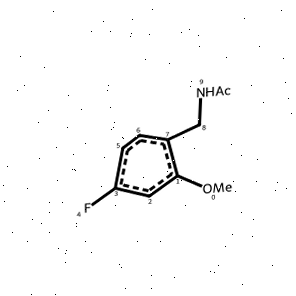 COc1cc(F)ccc1CNC(C)=O